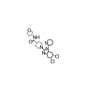 O=C(N[C@@H]1CCOC1)C1CCN(c2nc3cc(Cl)c(Cl)cc3n2-c2ccccn2)CC1